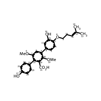 COc1cc(-c2ccc(OCCC=C(C)C)c(O)c2)c(OC)c(C(=O)O)c1-c1ccc(O)cc1